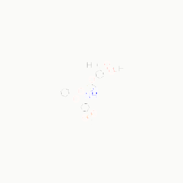 COC(=O)c1ccc(Oc2cnc(NC(=O)C(OC3CCc4ccccc43)c3ccc(S(=O)(=O)C4CC4)cc3)s2)cc1C